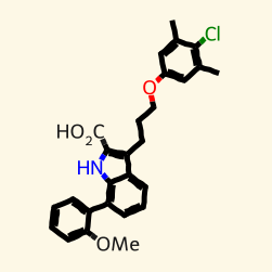 COc1ccccc1-c1cccc2c(CCCOc3cc(C)c(Cl)c(C)c3)c(C(=O)O)[nH]c12